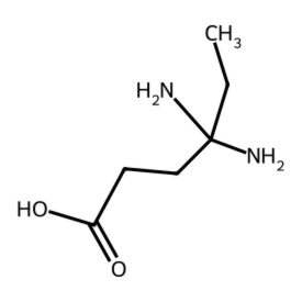 CCC(N)(N)CCC(=O)O